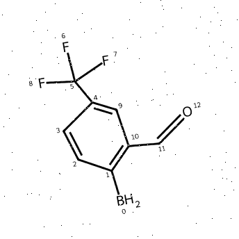 Bc1ccc(C(F)(F)F)cc1C=O